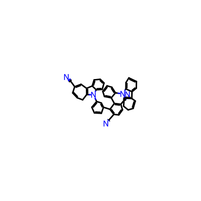 N#CC1=Cc2c(n(-c3cccc(-c4c(C#N)ccc(C#N)c4-c4ccccc4-n4c5c(c6ccccc64)C=CCC5)c3)c3ccccc23)CC=C1